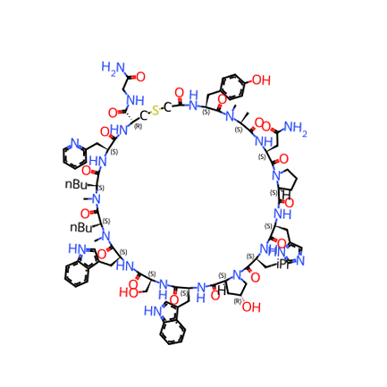 CCCC[C@H]1C(=O)N(C)[C@@H](CCCC)C(=O)N[C@@H](Cc2ccccn2)C(=O)N[C@H](C(=O)NCC(N)=O)CSCC(=O)N[C@@H](Cc2ccc(O)cc2)C(=O)N(C)[C@@H](C)C(=O)N[C@@H](CC(N)=O)C(=O)N2CCC[C@H]2C(=O)N[C@@H](Cc2cnc[nH]2)C(=O)N[C@@H](CC(C)C)C(=O)N2C[C@H](O)C[C@H]2C(=O)N[C@@H](Cc2c[nH]c3ccccc23)C(=O)N[C@@H](CO)C(=O)N[C@@H](Cc2c[nH]c3ccccc23)C(=O)N1C